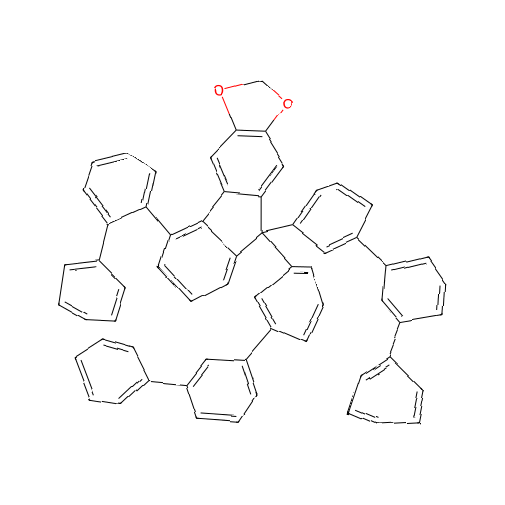 c1ccc(-c2cccc(-c3cccc(C4(c5cccc(-c6cccc(-c7ccccc7)c6)c5)c5cc6c(cc5-c5c(-c7ccccc7-c7ccccc7)cccc54)OCO6)c3)c2)cc1